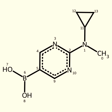 CN(c1ncc(B(O)O)cn1)C1CC1